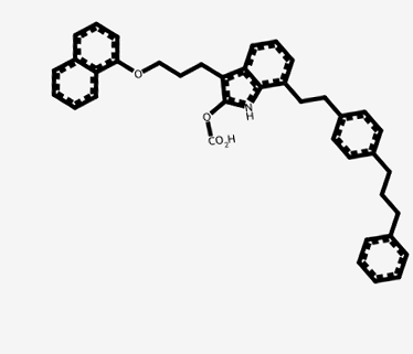 O=C(O)Oc1[nH]c2c(CCc3ccc(CCCc4ccccc4)cc3)cccc2c1CCCOc1cccc2ccccc12